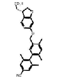 Cc1cc(C)c(-c2c(C)cc(C#N)cc2C)cc1COc1cc2c(cn1)[C@H](CC(=O)O)CS2